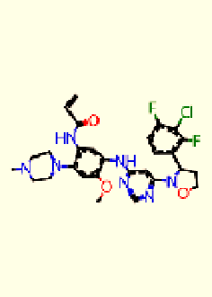 C=CC(=O)Nc1cc(Nc2cc(N3OCCC3c3ccc(F)c(Cl)c3F)ncn2)c(OC)cc1N1CCN(C)CC1